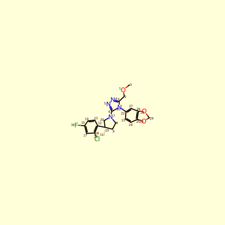 COCc1nnc(N2CC[C@@](C)(c3ccc(F)cc3Cl)C2)n1-c1ccc2c(c1)OCO2